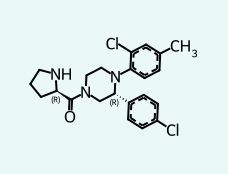 Cc1ccc(N2CCN(C(=O)[C@H]3CCCN3)C[C@H]2c2ccc(Cl)cc2)c(Cl)c1